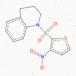 O=[N+]([O-])c1ccsc1S(=O)(=O)N1CCCc2ccccc21